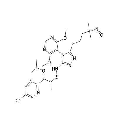 COc1ncnc(OC)c1-n1c(CCCC(C)(C)N=O)nnc1NSC(C)[C@@H](OC(C)C)c1ncc(Cl)cn1